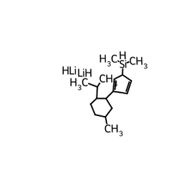 CC1CCC(C(C)C)C(C2=CC([SiH](C)C)C=C2)C1.[LiH].[LiH]